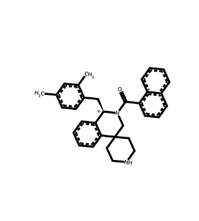 Cc1ccc(C[C@@H]2c3ccccc3C3(CCNCC3)CN2C(=O)c2cccc3ccccc23)c(C)c1